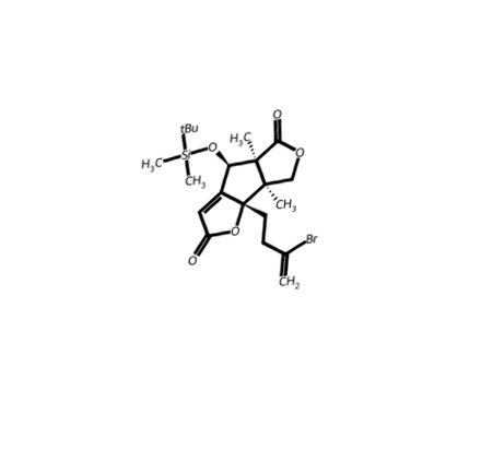 C=C(Br)CC[C@@]12OC(=O)C=C1[C@@H](O[Si](C)(C)C(C)(C)C)[C@@]1(C)C(=O)OC[C@@]21C